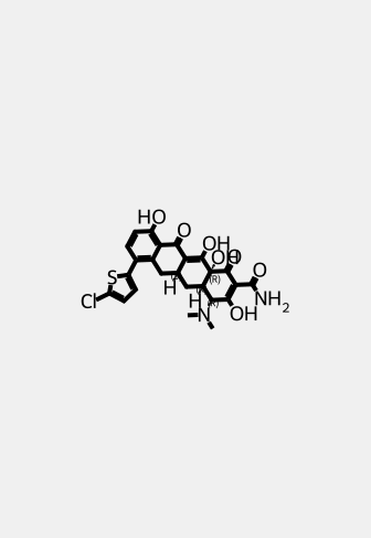 CN(C)[C@H]1C(O)=C(C(N)=O)C(=O)[C@]2(O)C(O)=C3C(=O)c4c(O)ccc(-c5ccc(Cl)s5)c4C[C@@H]3C[C@H]12